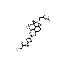 CCC(=O)NC1CN(C(=O)OC2CCC3(CO3)C([C@@]3(C)O[C@@H]3CC=C(C)C)C2OC)C1